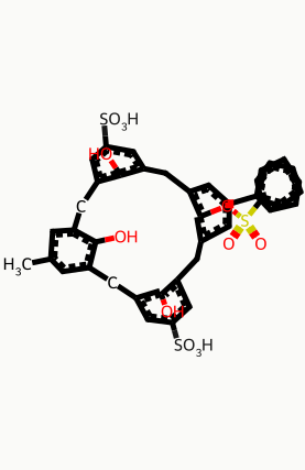 Cc1cc2c(O)c(c1)Cc1cc(S(=O)(=O)O)cc(c1O)Cc1cc(-c3ccccc3)cc(c1OS(=O)(=O)c1ccccc1)Cc1cc(S(=O)(=O)O)cc(c1O)C2